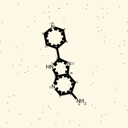 Nc1cnc2[nH]c(-c3ccncc3)nc2c1